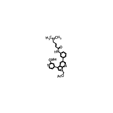 COc1cc(-c2cn(COC(C)=O)c3ncc(-c4cccc(NC(=O)C=CCN(C)C)c4)cc23)ccn1